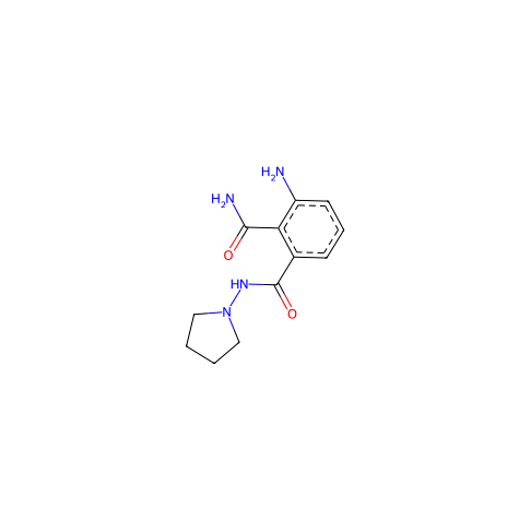 NC(=O)c1c(N)cccc1C(=O)NN1CCCC1